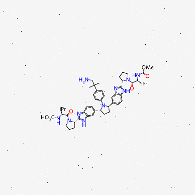 COC(=O)N[C@H](C(=O)N1CCC[C@H]1c1nc2cc([C@H]3CC[C@H](c4ccc5nc([C@@H]6CCCN6C(=O)[C@@H](NC(=O)O)C(C)C)[nH]c5c4)N3c3ccc(C(C)(C)CN)cc3)ccc2[nH]1)C(C)C